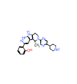 C[C@@H]1c2c([nH]c3nnc(-c4ccccc4O)cc23)CCN1c1cnc(C2CCNCC2)cn1